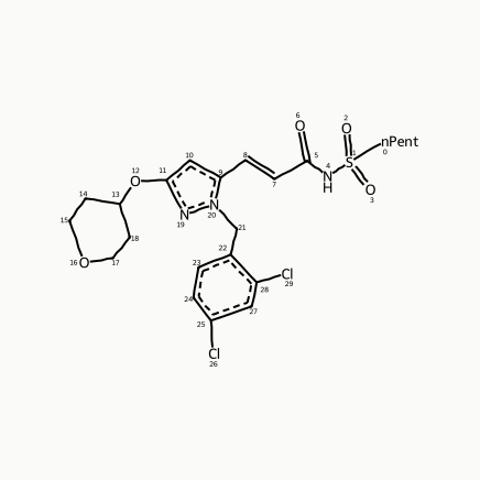 CCCCCS(=O)(=O)NC(=O)C=Cc1cc(OC2CCOCC2)nn1Cc1ccc(Cl)cc1Cl